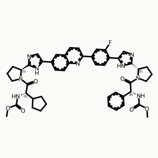 COC(=O)N[C@H](C(=O)N1CCC[C@H]1c1ncc(-c2ccc3nc(-c4ccc(-c5cnc([C@@H]6CCCN6C(=O)[C@H](NC(=O)OC)c6ccccc6)[nH]5)c(F)c4)ccc3c2)[nH]1)C1CCCC1